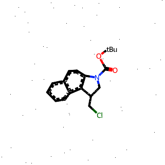 CC(C)(C)OC(=O)N1CC(CCl)c2c1ccc1ccccc21